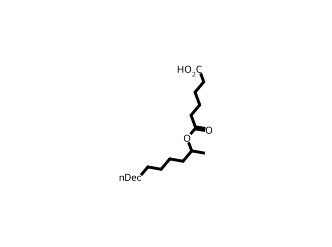 CCCCCCCCCCCCCCC(C)OC(=O)CCCCC(=O)O